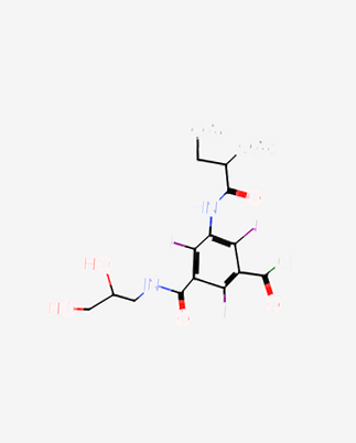 CC(=O)OCC(OC(C)=O)C(=O)Nc1c(I)c(C(=O)Cl)c(I)c(C(=O)NCC(O)CO)c1I